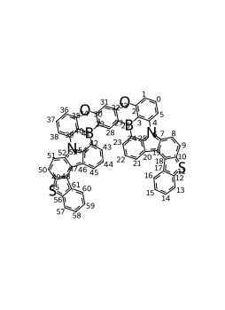 c1cc2c3c(c1)-n1c4ccc5sc6ccccc6c5c4c4cccc(c41)B3c1cc3c(cc1O2)Oc1cccc2c1B3c1cccc3c4c5c(ccc4n-2c13)sc1ccccc15